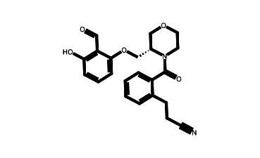 N#CCCc1ccccc1C(=O)N1CCOC[C@H]1COc1cccc(O)c1C=O